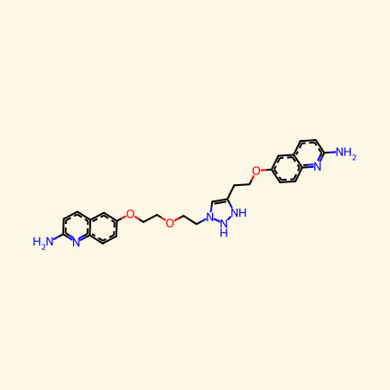 Nc1ccc2cc(OCCOCCN3C=C(CCOc4ccc5nc(N)ccc5c4)NN3)ccc2n1